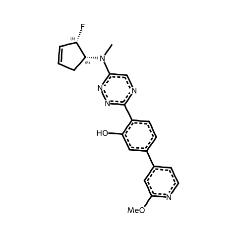 COc1cc(-c2ccc(-c3ncc(N(C)[C@@H]4CC=C[C@@H]4F)nn3)c(O)c2)ccn1